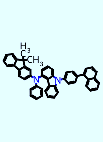 CC1(C)c2ccccc2-c2ccc(N(c3ccccc3)c3cccc4c3c3ccccc3n4-c3ccc(-c4cccc5ccccc45)cc3)cc21